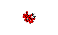 CC(C)c1cc(C(C)C)c(B2c3ccc(-n4c5ccc(-c6ccccc6)cc5c5ccccc5c5ccccc5c5cc(-c6ccccc6)ccc54)cc3Oc3cc(-n4c5ccc(-c6ccccc6)cc5c5ccccc5c5ccccc5c5cc(-c6ccccc6)ccc54)ccc32)c(C(C)C)c1